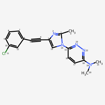 Cc1nc(C#Cc2cccc(Cl)c2)cn1-c1ccc(N(C)C)nn1